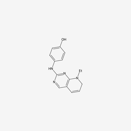 CCN1CC=Cc2cnc(Nc3ccc(O)cc3)nc21